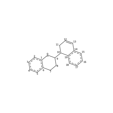 [C]1c2ccccc2CCC1C1CC=Cc2ccccc21